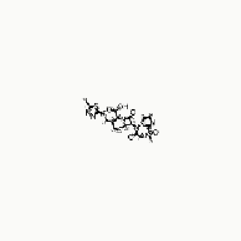 CC(=O)N(C1C(=O)N2C(C(=O)O)=C(CSc3nnc(C)s3)CSC12)n1ccnc1S(C)(=O)=O